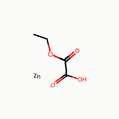 CCOC(=O)C(=O)O.[Zn]